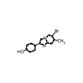 Cc1cc2nc(-c3ccc(O)cc3)cn2cc1Br